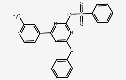 Cc1cc(-c2cc(Oc3ccccc3)nc(NS(=O)(=O)c3ccccc3)n2)ccn1